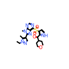 CCn1ncc(-c2nc3c(S(=O)(=O)c4cc[nH]c4C(=O)C4CCOCC4)ncnc3n2C)c1C